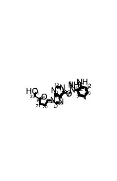 Nc1ccccc1N(N)Oc1ncnc2c1ncn2C1CC[C@@H](CO)O1